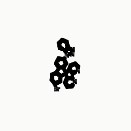 Brc1ccc2c(c1)C1(c3cc(-n4nnc5ccccc54)ccc3-2)c2cccnc2-c2ncccc21